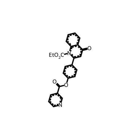 CCOC(=O)n1c(-c2ccc(OC(=O)c3cccnc3)cc2)cc(=O)c2ccccc21